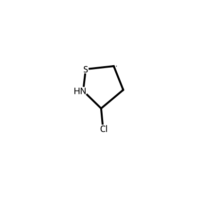 ClC1C[CH]SN1